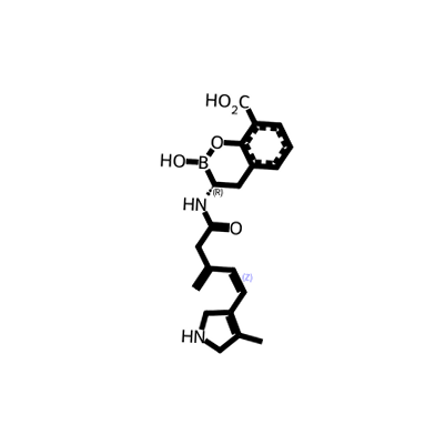 C=C(/C=C\C1=C(C)CNC1)CC(=O)N[C@H]1Cc2cccc(C(=O)O)c2OB1O